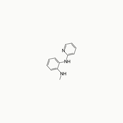 CNc1ccccc1Nc1ccccn1